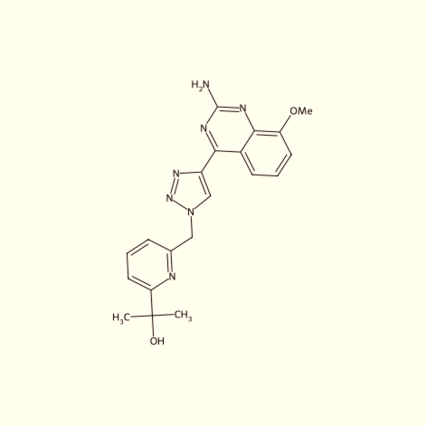 COc1cccc2c(-c3cn(Cc4cccc(C(C)(C)O)n4)nn3)nc(N)nc12